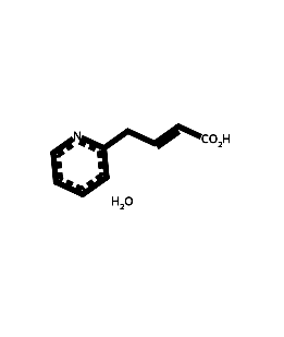 O.O=C(O)C=CCc1ccccn1